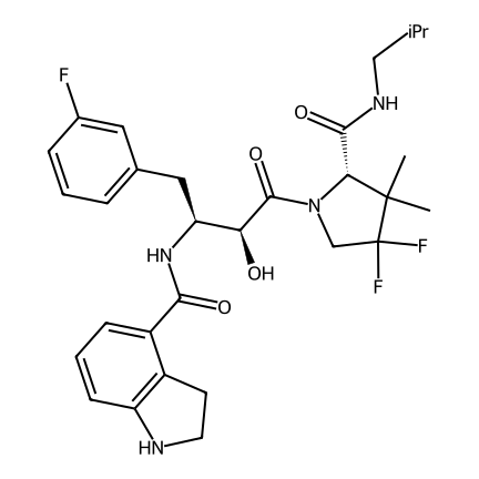 CC(C)CNC(=O)[C@H]1N(C(=O)[C@@H](O)[C@H](Cc2cccc(F)c2)NC(=O)c2cccc3c2CCN3)CC(F)(F)C1(C)C